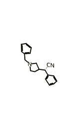 N#C[C@H](c1ccccc1)C1CCN(Cc2ccccc2)C1